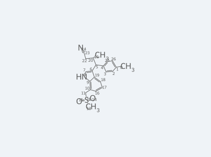 Cc1ccc(C(c2c[nH]c3c(CS(C)(=O)=O)cccc23)C(C)CC#N)cc1